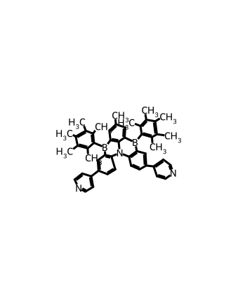 Cc1cc2c3c(c1)B(c1c(C)c(C)c(C)c(C)c1C)c1cc(-c4ccncc4)ccc1N3c1ccc(-c3ccncc3)cc1B2c1c(C)c(C)c(C)c(C)c1C